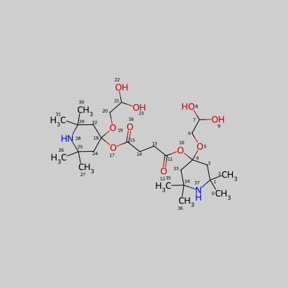 CC1(C)CC(OCC(O)O)(OC(=O)CCC(=O)OC2(OCC(O)O)CC(C)(C)NC(C)(C)C2)CC(C)(C)N1